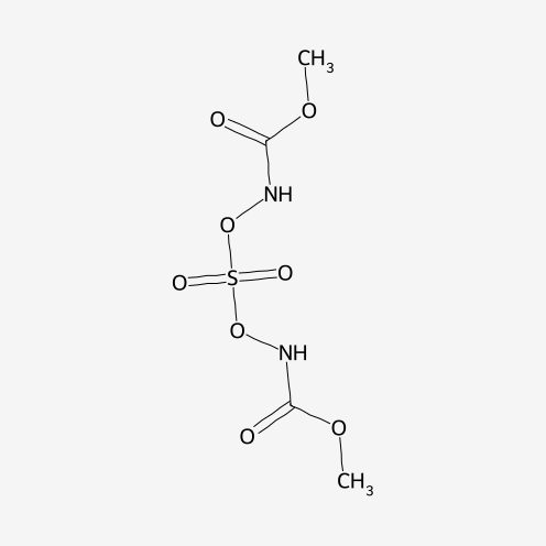 COC(=O)NOS(=O)(=O)ONC(=O)OC